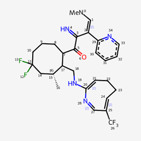 CN/C=C(\C(=N)C(=O)C1CCCC(F)(F)C[C@@H](C)C1CNC1=C/CC/C=C(C(F)(F)F)/C=N\1)c1ccccn1